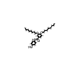 CCCCCCCCOc1ccc(C(=O)Nc2ccc(O)cc2)cc1OCCCCCCCC